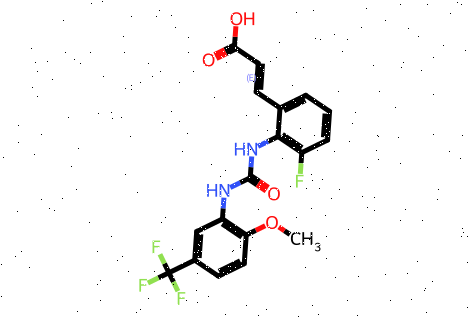 COc1ccc(C(F)(F)F)cc1NC(=O)Nc1c(F)cccc1/C=C/C(=O)O